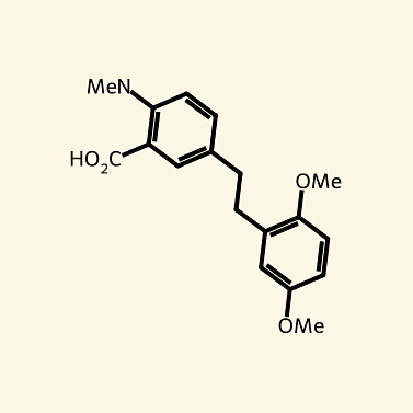 CNc1ccc(CCc2cc(OC)ccc2OC)cc1C(=O)O